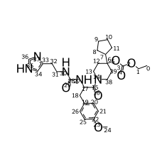 CCOC(=O)OC1(C2CCCC2)CCN(C(=O)C(Cc2ccc(OC)cc2)NC(=O)NCCc2c[nH]cn2)CC1